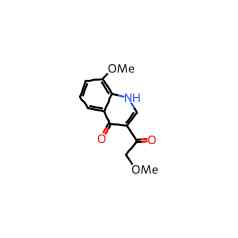 COCC(=O)c1c[nH]c2c(OC)cccc2c1=O